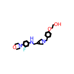 OCCOc1ccc(CN2CC3C(CNc4ccc(N5CCOCC5)c(F)c4)C3C2)cc1